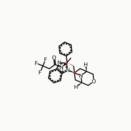 Cc1nc2ccccc2n1[C@@H]1C[C@H]2COC[C@@H](C1)N2CC[C@H](NC(=O)CC(F)(F)F)c1ccccc1